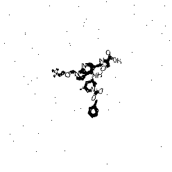 C[C@H]1C[C@@H](Nc2c(-c3nc(C(=O)O)co3)cnc3c2ccn3COCC[Si](C)(C)C)CN(C(=O)OCc2ccccc2)C1